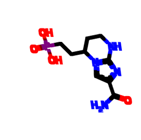 NC(=O)c1cn2c(n1)NCCC2CCP(=O)(O)O